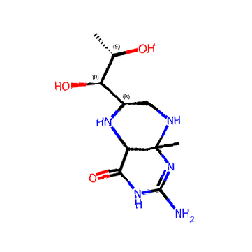 C[C@H](O)[C@H](O)[C@H]1CNC2(C)N=C(N)NC(=O)C2N1